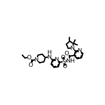 CCOC(=O)N1CCC(Nc2cccc(S(=O)(=O)NC(=O)c3cccnc3N3CCC(C)C3(C)C)n2)CC1